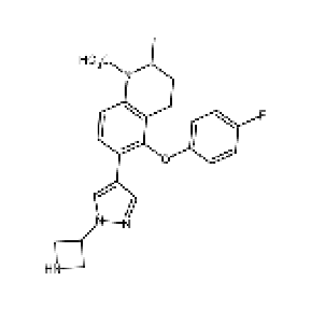 CC1CCc2c(ccc(-c3cnn(C4CNC4)c3)c2Oc2ccc(F)cc2)N1C(=O)O